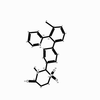 Cc1cccc(-c2ccc(C3N(C)C(=O)CCS3(=O)=O)cc2)c1-c1ccccn1